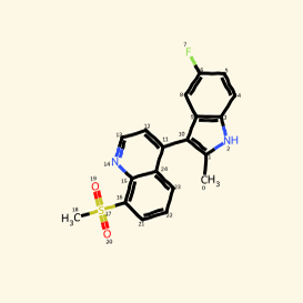 Cc1[nH]c2ccc(F)cc2c1-c1ccnc2c(S(C)(=O)=O)cccc12